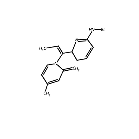 C=C1C=C(C)C=CN1/C(=C\C)C1CC=CC(NCC)=N1